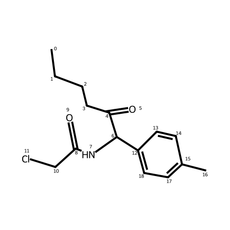 CCCCC(=O)C(NC(=O)CCl)c1ccc(C)cc1